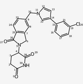 O=C1CCC(N2Cc3cc(Cn4ccc(-c5cccc(Cl)c5)c4)ccc3C2=O)C(=O)N1